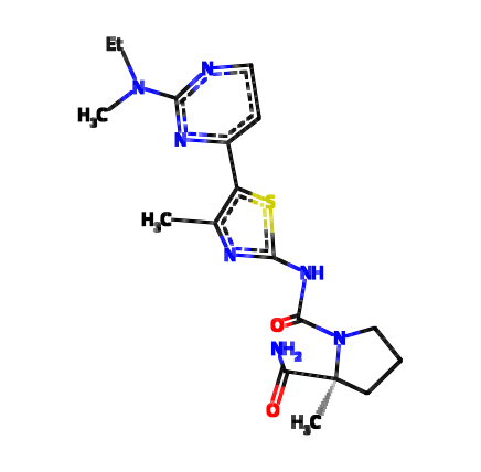 CCN(C)c1nccc(-c2sc(NC(=O)N3CCC[C@@]3(C)C(N)=O)nc2C)n1